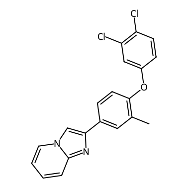 Cc1cc(-c2cn3ccccc3n2)ccc1Oc1ccc(Cl)c(Cl)c1